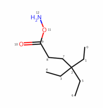 CCC(CC)(CC)CCC(=O)ON